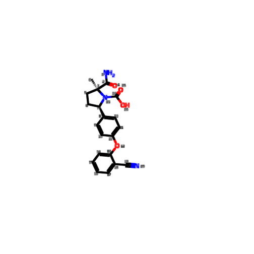 C[C@@]1(C(N)=O)CC[C@H](c2ccc(Oc3ccccc3C#N)cc2)N1C(=O)O